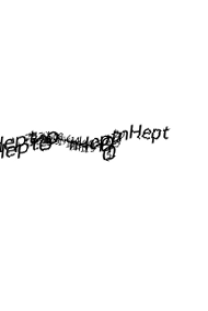 CCCCCCCC(CCCCCCC)CC(=O)OCCCCCCCCCCCCCOC(=O)CC(CCCCCCC)CCCCCCC